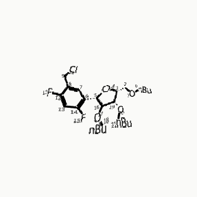 CCCCOC[C@H]1O[C@@H](c2cc(CCl)c(F)cc2F)C(OCCCC)[C@H]1OCCCC